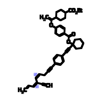 C#CC(/C=C\CC#Cc1ccc(C#CC2(OC(=O)c3ccc(OC(=C)C4CCC(C(=O)OCC)CC4)cc3)CCCCC2)cc1)=C/C=C